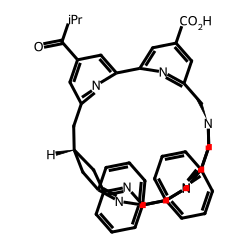 CC(C)C(=O)c1cc2nc(c1)-c1cc(C(=O)O)cc(n1)C[N@]1Cc3cccc(n3)-c3cccc(n3)C[C@@H](Cc3cccc(n3)-c3cccc(n3)C1)C2